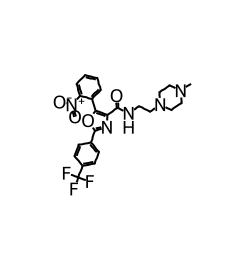 CN1CCN(CCNC(=O)c2nc(-c3ccc(C(F)(F)F)cc3)oc2-c2ccccc2[N+](=O)[O-])CC1